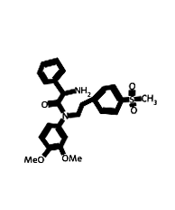 COc1ccc(N(CCc2ccc(S(C)(=O)=O)cc2)C(=O)C(N)c2ccccc2)cc1OC